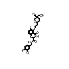 N#CC1(CO)CCC(CCOc2c(F)ccc3nc(C(=O)NCc4ccc(F)c(Cl)c4)[nH]c(=O)c23)OC1